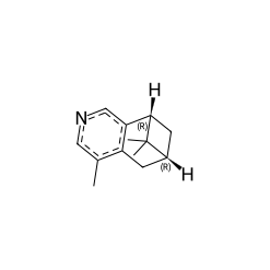 Cc1cncc2c1C[C@H]1C[C@@H]2C1(C)C